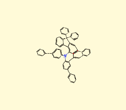 c1ccc(-c2ccc(N(c3ccc(-c4ccccc4)cc3-c3ccc4ccccc4c3)c3cccc4c3-c3ccccc3C4(c3ccccc3)c3ccccc3)cc2)cc1